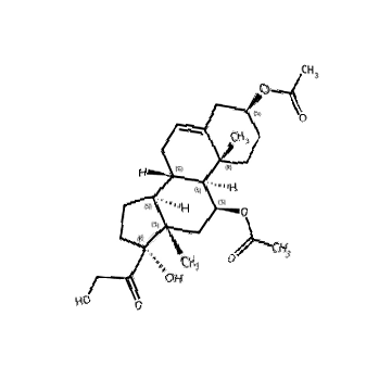 CC(=O)O[C@H]1CC[C@@]2(C)C(=CC[C@@H]3[C@@H]2[C@@H](OC(C)=O)C[C@@]2(C)[C@H]3CC[C@]2(O)C(=O)CO)C1